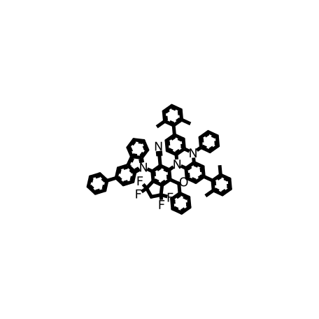 Cc1cccc(C)c1-c1ccc2c(c1)N(c1ccccc1)c1cc(-c3c(C)cccc3C)ccc1N2c1c(C#N)c(-n2c3ccccc3c3cc(-c4ccccc4)ccc32)c2c(c1C(=O)c1ccccc1)C(F)(F)CC2(F)F